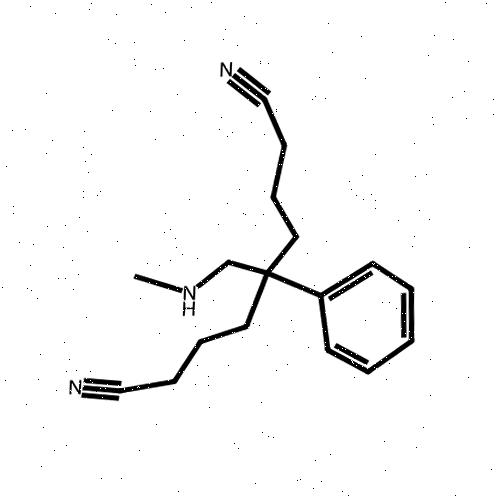 CNCC(CCCC#N)(CCCC#N)c1ccccc1